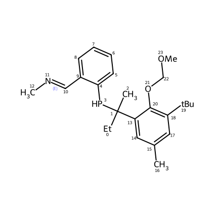 CCC(C)(Pc1ccccc1/C=N/C)c1cc(C)cc(C(C)(C)C)c1OCOC